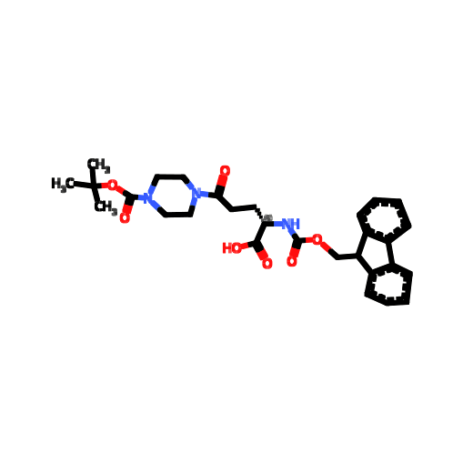 CC(C)(C)OC(=O)N1CCN(C(=O)CC[C@H](NC(=O)OCC2c3ccccc3-c3ccccc32)C(=O)O)CC1